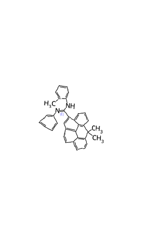 Cc1ccccc1N/C(=N/c1ccccc1)c1cc2ccc3cccc4c3c2c2c(cccc12)C4(C)C